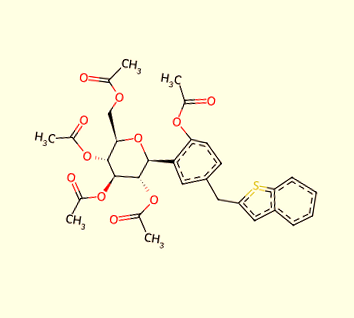 CC(=O)OC[C@H]1O[C@@H](c2cc(Cc3cc4ccccc4s3)ccc2OC(C)=O)[C@H](OC(C)=O)[C@@H](OC(C)=O)[C@@H]1OC(C)=O